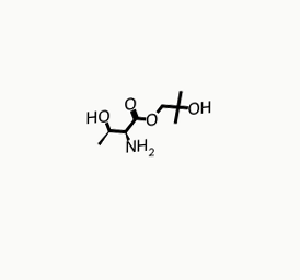 C[C@@H](O)[C@H](N)C(=O)OCC(C)(C)O